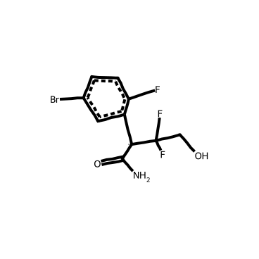 NC(=O)[C](c1cc(Br)ccc1F)C(F)(F)CO